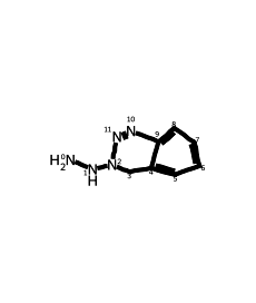 NNN1Cc2ccccc2N=N1